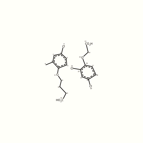 Cc1cc(Cl)ccc1OCCCC(=O)O.O=C(O)COc1ccc(Cl)cc1Cl